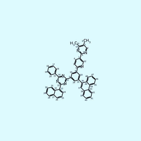 Cc1cnc(-c2ccc(-c3cc(-c4nc(-c5ccccc5)nc(-c5cccc6ccccc56)n4)cc(-c4cc5ccccc5c5ccccc45)c3)nc2)nc1C